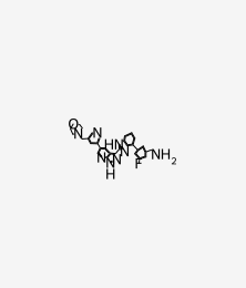 NCc1cc(F)cc(-c2cccc3[nH]c(-c4n[nH]c5ncc(-c6cncc(CN7CCOCC7)c6)cc45)nc23)c1